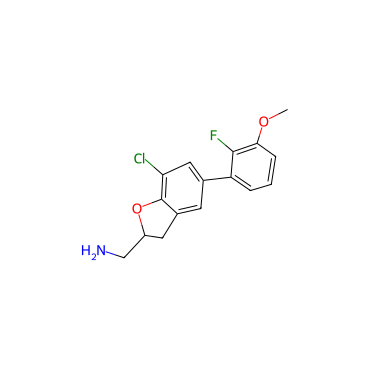 COc1cccc(-c2cc(Cl)c3c(c2)CC(CN)O3)c1F